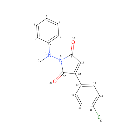 CN(c1ccccc1)N1C(=O)C=C(c2ccc(Cl)cc2)C1=O